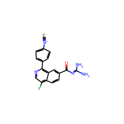 [C-]#[N+]c1ccc(-c2ncc(F)c3ccc(C(=O)N=C(N)N)cc23)cc1